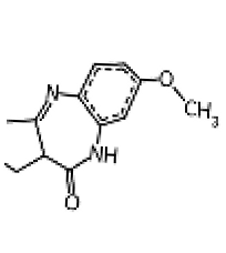 COc1ccc2c(c1)NC(=O)C1CCCC1=N2